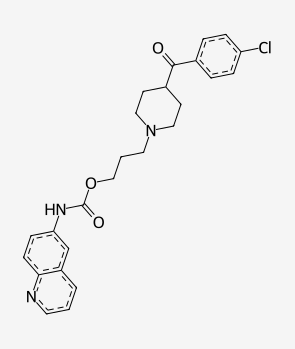 O=C(Nc1ccc2ncccc2c1)OCCCN1CCC(C(=O)c2ccc(Cl)cc2)CC1